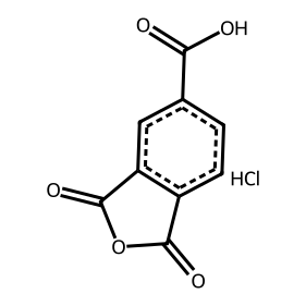 Cl.O=C(O)c1ccc2c(c1)C(=O)OC2=O